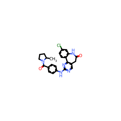 CC1CCCN1C(=O)c1ccc(Nc2ncc3c(n2)-c2ccc(Cl)cc2NC(=O)C3)cc1